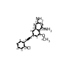 COc1cc(C#Cc2ccccc2Cl)cc2nc(N)nc(N)c12